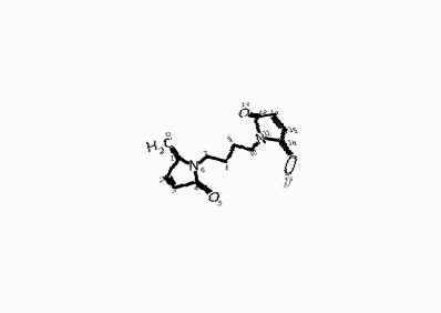 C=C1C=CC(=O)N1CCCCN1C(=O)C=CC1=O